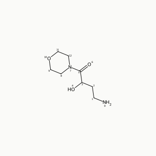 NCCC(O)C(=O)N1CCOCC1